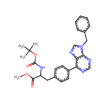 COC(=O)C(Cc1ccc(-c2ncnc3c2ncn3Cc2ccccc2)cc1)NC(=O)OC(C)(C)C